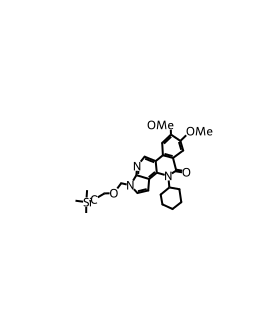 COc1cc2c(=O)n(C3CCCCC3)c3c(cnc4c3ccn4COCC[Si](C)(C)C)c2cc1OC